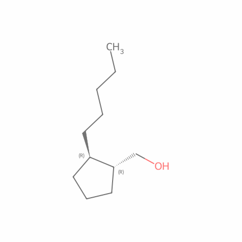 CCCCC[C@@H]1CCC[C@H]1CO